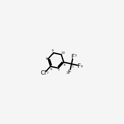 FC(F)(F)C1=CC(Cl)=C[CH]C1